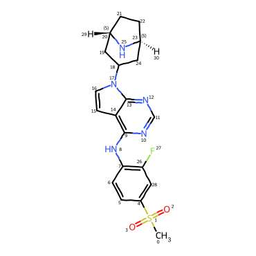 CS(=O)(=O)c1ccc(Nc2ncnc3c2ccn3C2C[C@@H]3CC[C@@H](C2)N3)c(F)c1